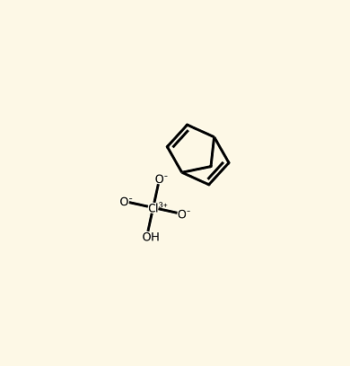 C1=CC2C=CC1C2.[O-][Cl+3]([O-])([O-])O